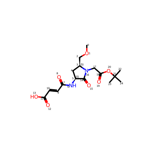 COC[C@@H]1C[C@H](NC(=O)C=CC(=O)O)C(=O)N1CC(=O)OC(C)(C)C